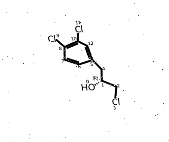 O[C@@H](CCl)Cc1ccc(Cl)c(Cl)c1